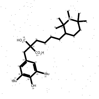 CN1C(C)(C)CCC(CCCCC(Cc2cc(C(C)(C)C)c(O)c(C(C)(C)C)c2)(C(=O)O)C(=O)O)C1(C)C